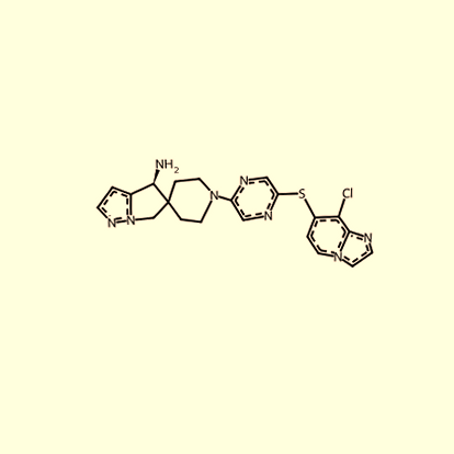 N[C@@H]1c2ccnn2CC12CCN(c1cnc(Sc3ccn4ccnc4c3Cl)cn1)CC2